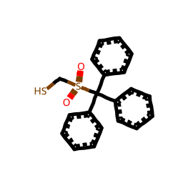 O=S(=O)(CS)C(c1ccccc1)(c1ccccc1)c1ccccc1